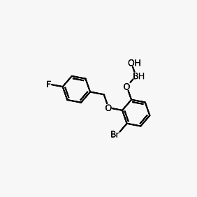 OBOc1cccc(Br)c1OCc1ccc(F)cc1